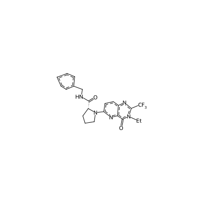 CCn1c(C(F)(F)F)nc2ccc(N3CCC[C@@H]3C(=O)NCc3ccccc3)nc2c1=O